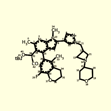 Cc1nc2c(cc(-c3cnn(CC4CN(C5CCOCC5)C4)c3)n2C)c(-c2cc(F)c3c(c2C)CCCO3)c1[C@H](OC(C)(C)C)C(=O)O